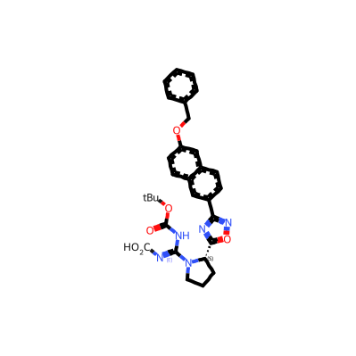 CC(C)(C)OC(=O)N/C(=N\C(=O)O)N1CCC[C@H]1c1nc(-c2ccc3cc(OCc4ccccc4)ccc3c2)no1